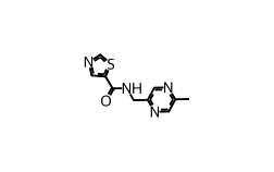 Cc1cnc(CNC(=O)c2cncs2)cn1